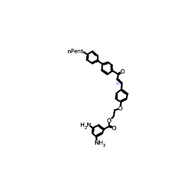 CCCCCc1ccc(-c2ccc(C(=O)/C=C/c3ccc(OCCOC(=O)c4cc(N)cc(N)c4)cc3)cc2)cc1